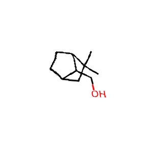 CC1(C)CC2CCC1C2CO